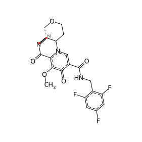 COc1c2n(cc(C(=O)NCc3c(F)cc(F)cc3F)c1=O)C1CCOC[C@]13CC=CCN3C2=O